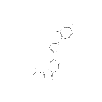 CC(C)c1nnc2ccc(-c3cnc(-c4ccc(F)cc4F)s3)nn12